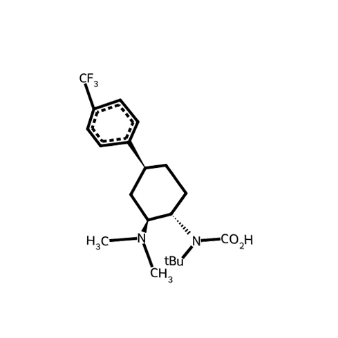 CN(C)[C@H]1C[C@@H](c2ccc(C(F)(F)F)cc2)CC[C@@H]1N(C(=O)O)C(C)(C)C